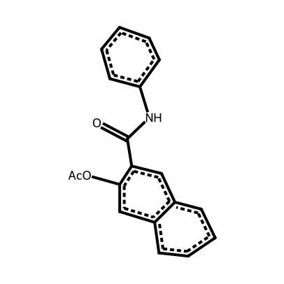 CC(=O)Oc1cc2ccccc2cc1C(=O)Nc1ccccc1